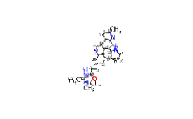 Cc1cccc(-c2nn3ccccc3c2-c2ccnc3cc(CCC(=O)NC(C)N(C)C)ccc23)n1